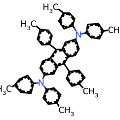 Cc1ccc(-c2c3ccc(N(c4ccc(C)cc4)c4ccc(C)cc4)cc3c(-c3ccc(C)cc3)c3ccc(N(c4ccc(C)cc4)c4ccc(C)cc4)cc23)cc1